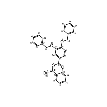 CC[C@H](C)[C@@H](OC(=O)c1ccc(OCc2ccccc2)c(OCc2ccccc2)c1)c1ccccc1